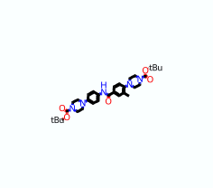 Cc1cc(C(=O)Nc2ccc(N3CCN(C(=O)OC(C)(C)C)CC3)cc2)ccc1N1CCN(C(=O)OC(C)(C)C)CC1